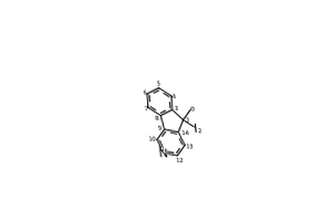 CC1(I)c2ccccc2-c2cnccc21